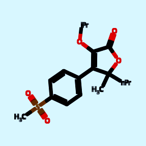 CCCC1(C)OC(=O)C(OC(C)C)=C1c1ccc(S(C)(=O)=O)cc1